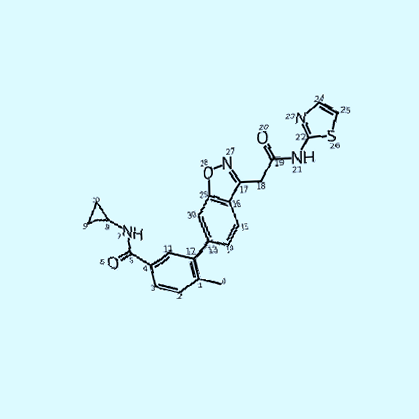 Cc1ccc(C(=O)NC2CC2)cc1-c1ccc2c(CC(=O)Nc3nccs3)noc2c1